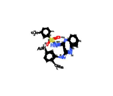 COc1ccc(NC(C)=O)cc1Nc1nc2ccccc2nc1NS(=O)(=O)c1cccc([N+](=O)[O-])c1